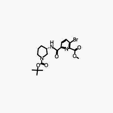 COC(=O)c1nc(C(=O)N[C@H]2CCCN(C(=O)OC(C)(C)C)C2)ccc1Br